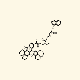 CCN(CCNC(=O)c1ccc(C(=O)O)c(C2=c3cc4c5c(c3Oc3c2cc2c6c3CCCN6CCCC2)CCC[N+]=5CCCC4)c1)C(=O)CCNC[C@H](O)COc1cccc2ccccc12